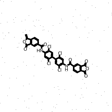 C=C1OC(=O)c2cc(C(=O)Nc3cc(Cl)c(-c4cc(Cl)c(NC(=O)c5ccc6c(c5)C(=O)OC6=O)cc4Cl)cc3Cl)ccc21